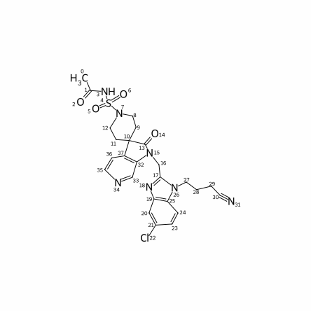 CC(=O)NS(=O)(=O)N1CCC2(CC1)C(=O)N(Cc1nc3cc(Cl)ccc3n1CCCC#N)c1cnccc12